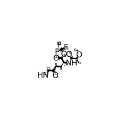 CO[C@@H](C)C(=O)N[C@@H](CCC(=O)C=N)C(=O)OC(F)(F)F